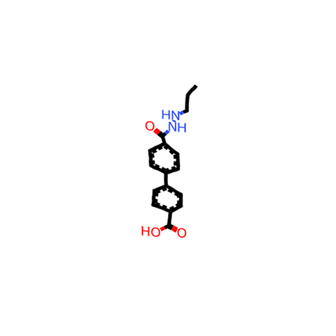 CCCNNC(=O)c1ccc(-c2ccc(C(=O)O)cc2)cc1